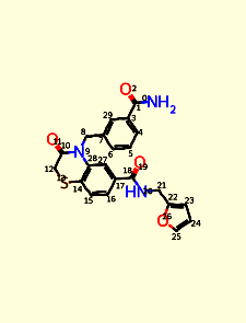 NC(=O)c1cccc(CN2C(=O)CSc3ccc(C(=O)NCc4ccco4)cc32)c1